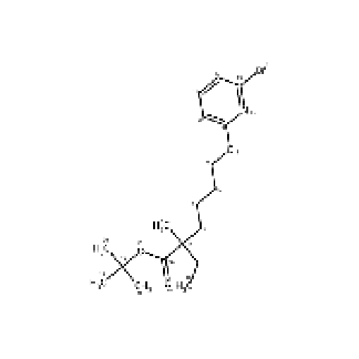 CCC(C)(CCCCOc1cccc(Br)n1)C(=O)OC(C)(C)C